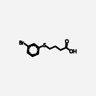 O=C(O)CCCSc1cccc(Br)c1